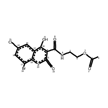 CC(=O)OCCNC(=O)c1c(O)c2cc(Cl)cc(Br)c2sc1=O